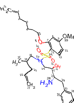 C=CCCCCOc1cc(OC)ccc1S(=O)(=O)N(CC(C)CC=C)C[C@@H](O)[C@@H](N)Cc1ccccc1